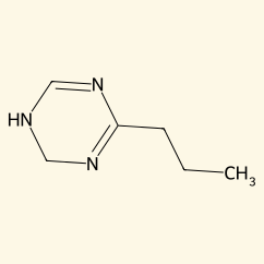 CCCC1=NCNC=N1